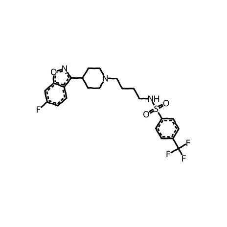 O=S(=O)(NCCCCN1CCC(c2noc3cc(F)ccc23)CC1)c1ccc(C(F)(F)F)cc1